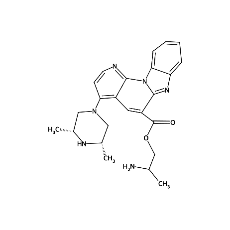 CC(N)COC(=O)c1cc2c(N3C[C@@H](C)N[C@@H](C)C3)ccnc2n2c1nc1ccccc12